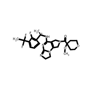 COC1(C(=O)N2CC3=C(C2)N2CCN=C2N=C3N[C@H](C)c2cccc(C(C)(F)F)c2F)CCOCC1